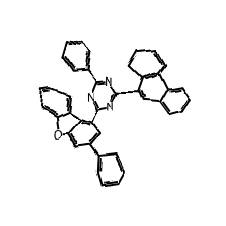 C1=Cc2c(c(-c3nc(-c4ccccc4)nc(-c4cc(-c5ccccc5)cc5oc6ccccc6c45)n3)cc3ccccc23)CC1